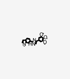 COc1cc(-c2c[nH]c(-c3ccc4ccn(C)c4c3)n2)cc(OC)c1OC